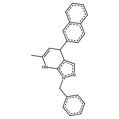 CC1=CC(c2ccc3ccccc3c2)c2cnn(Cc3ccccc3)c2N1